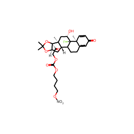 CC1(C)O[C@@H]2C[C@H]3C4CCC5=CC(=O)C=C[C@]5(C)[C@@]4(F)[C@@H](O)C[C@]3(C)[C@]2(C(=O)COC(=O)OCCCCO[N+](=O)[O-])O1